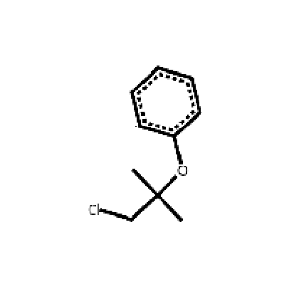 CC(C)(CCl)Oc1[c]cccc1